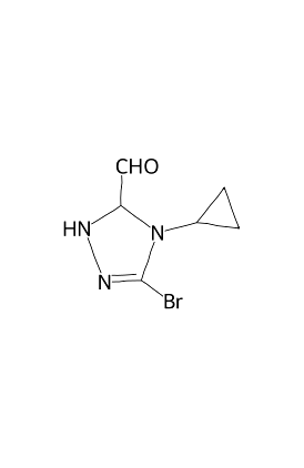 O=CC1NN=C(Br)N1C1CC1